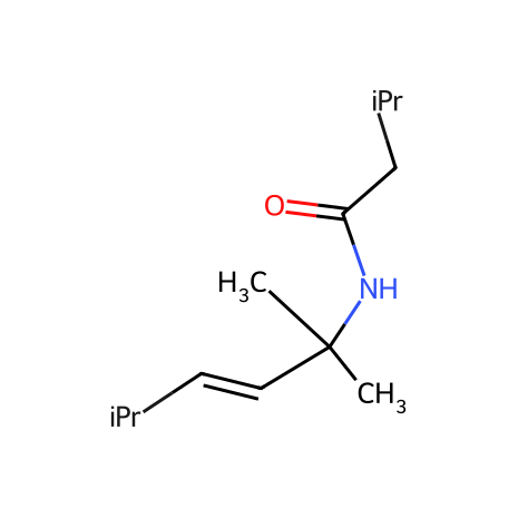 CC(C)/C=C/C(C)(C)NC(=O)CC(C)C